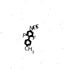 Cc1ccc(-c2c(F)cc(N=C=S)cc2F)cc1